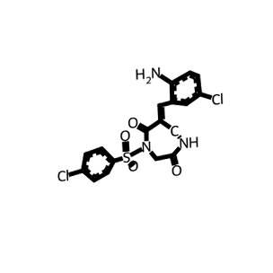 Nc1ccc(Cl)cc1/C=C1\CNC(=O)CN(S(=O)(=O)c2ccc(Cl)cc2)C1=O